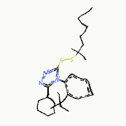 CCCCCC(C)(C)SSc1nnc(C2CCCCC2)n1-c1ccccc1C(C)(C)C